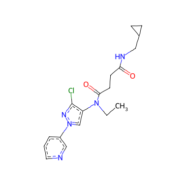 CCN(C(=O)CCC(=O)NCC1CC1)c1cn(-c2cccnc2)nc1Cl